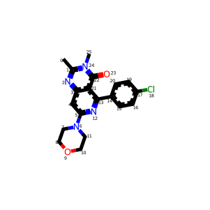 Cc1nc2cc(N3CCOCC3)nc(-c3ccc(Cl)cc3)c2c(=O)n1C